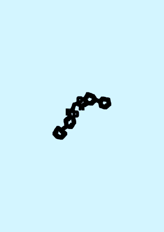 c1ccc(-c2ccc3oc(Cc4nc5cc(-c6ccccc6)ccc5o4)nc3c2)cc1